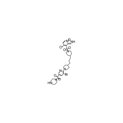 O=S(=O)(C1=C(Cl)C=CN2ONC=C12)N1CCC(CCCC2CCN(c3ncc(S(=O)(=O)N4CCCNCC4)cc3Br)CC2)CC1